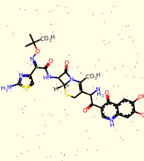 CC(C)(O/N=C(\C(=O)NC1C(=O)N2C(C(=O)O)=C(C(N)C(=O)c3c[nH]c4cc(O)c(O)cc4c3=O)CS[C@H]12)c1csc(N)n1)C(=O)O